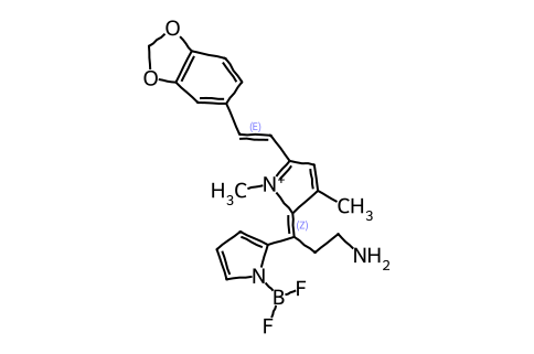 CC1=CC(/C=C/c2ccc3c(c2)OCO3)=[N+](C)C/1=C(/CCN)c1cccn1B(F)F